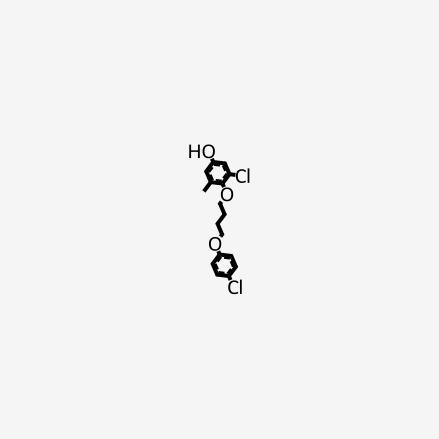 Cc1cc(O)cc(Cl)c1OCCCCOc1ccc(Cl)cc1